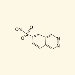 O=NS(=O)(=O)c1ccc2cnncc2c1